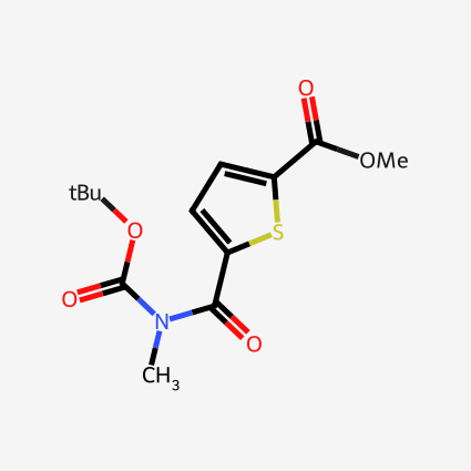 COC(=O)c1ccc(C(=O)N(C)C(=O)OC(C)(C)C)s1